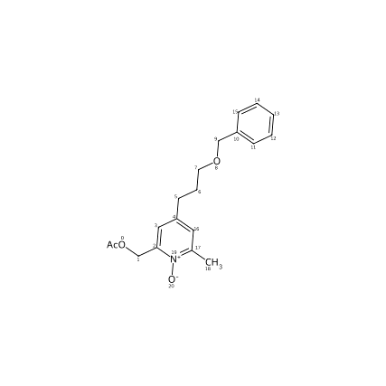 CC(=O)OCc1cc(CCCOCc2ccccc2)cc(C)[n+]1[O-]